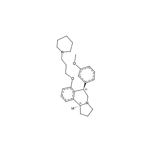 COc1cccc([C@H]2CN3CCC[C@H]3c3cccc(OCCCN4CCCCC4)c32)c1